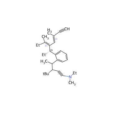 C#C/C(C)=C/C(=C(\C)CC)[C@@H](CC)c1ccccc1C(C)C(C#CN(C)CC)C(C)(C)C